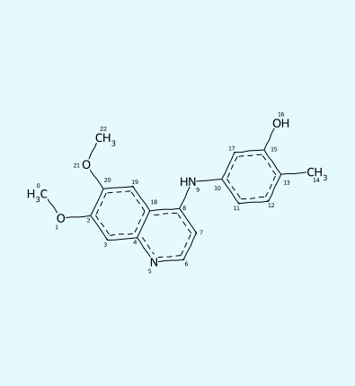 COc1cc2nccc(Nc3ccc(C)c(O)c3)c2cc1OC